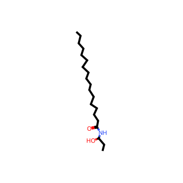 CCCCCCCCCCCCCCCCC(=O)NC(O)CC